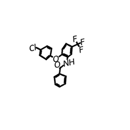 O=C(Nc1cc(C(F)(F)F)ccc1Oc1ccc(Cl)cc1)c1ccccc1